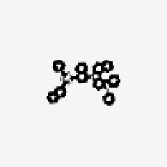 C1=Cc2c(c3c4c5c6ccccc6ccc5n(-c5ccc(-c6nc(-c7ccccc7)nc(-c7ccc8ccccc8c7)n6)c6ccccc56)c4ccc3n2-c2ccccc2)CC1